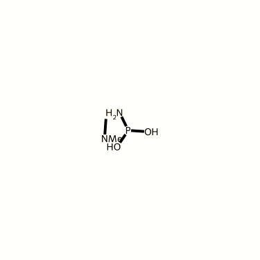 CNC.NP(O)O